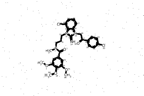 COc1cc(C(=O)N(C)CCCn2c(=N)n(CC(=O)c3ccc(Cl)cc3)c3cccc(Cl)c32)cc(OC)c1OC